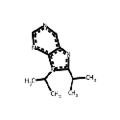 CC(C)c1nc2cncnc2n1C(C)C